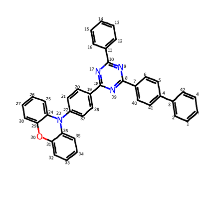 c1ccc(-c2ccc(-c3nc(-c4ccccc4)nc(-c4ccc(N5c6ccccc6Oc6ccccc65)cc4)n3)cc2)cc1